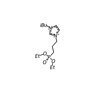 CCOP(=O)(CCC[n+]1ccn(C(C)CC)c1)OCC